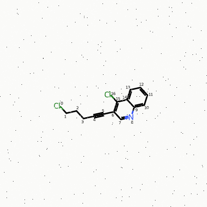 ClCCCC#Cc1cnc2ccccc2c1Cl